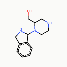 OCC1CNCCN1[C]1NCc2ccccc21